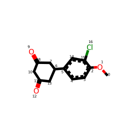 COc1ccc(C2CC(=O)CC(=O)C2)cc1Cl